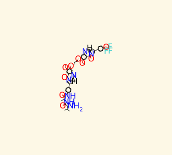 COc1cc2c(cc1OCCCOc1cc3c(cc1OC)C(=O)N1C=C(c4ccc(OC(F)(F)F)cc4)C[C@H]1C=N3)N=C[C@@H]1CC(c3ccc(NC(=O)C(C)NC(=O)C(N)C(C)C)cc3)=CN1C2=O